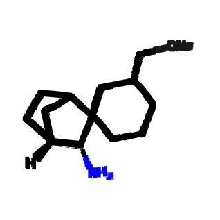 COCC1CCCC2(C1)C1CC[C@H](C1)[C@H]2N